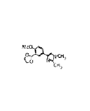 COc1ccc(-c2cn(C)c(C)n2)cc1C1OCCO1